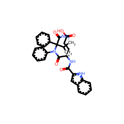 CC(C)C(C(N)=O)(c1ccccc1)N(C(=O)[C@@H](CCC(=O)O)NC(=O)c1cc2ccccc2[nH]1)c1ccccc1